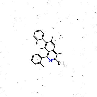 Bc1nc(-c2ccccc2C)c2c(C)c(-c3ccccc3C)c(C)cc2c1C